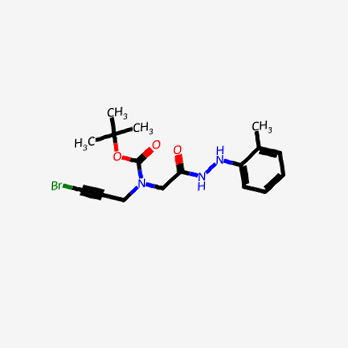 Cc1ccccc1NNC(=O)CN(CC#CBr)C(=O)OC(C)(C)C